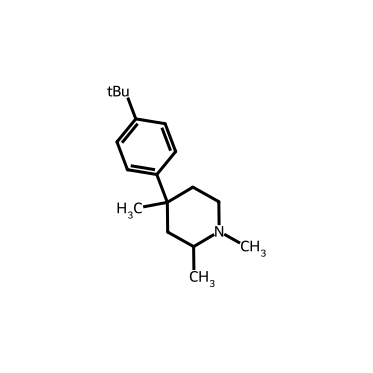 CC1CC(C)(c2ccc(C(C)(C)C)cc2)CCN1C